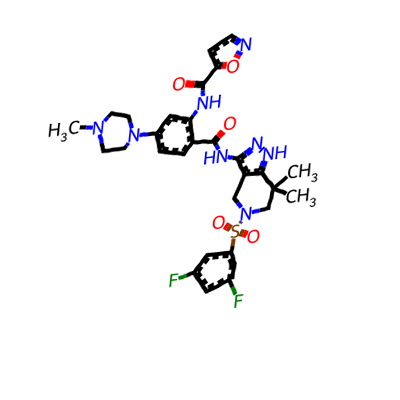 CN1CCN(c2ccc(C(=O)Nc3n[nH]c4c3CN(S(=O)(=O)c3cc(F)cc(F)c3)CC4(C)C)c(NC(=O)c3ccno3)c2)CC1